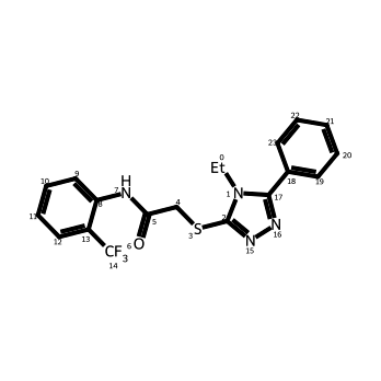 CCn1c(SCC(=O)Nc2ccccc2C(F)(F)F)nnc1-c1ccccc1